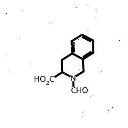 O=CN1Cc2ccccc2CC1C(=O)O